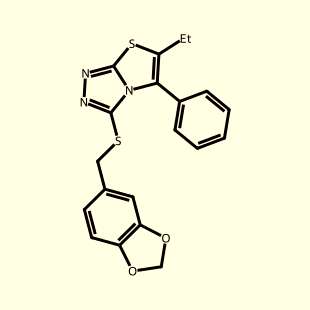 CCc1sc2nnc(SCc3ccc4c(c3)OCO4)n2c1-c1ccccc1